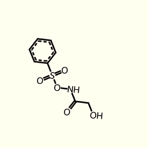 O=C(CO)NOS(=O)(=O)c1ccccc1